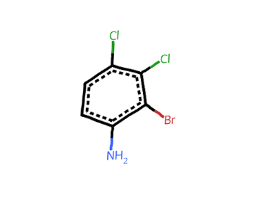 Nc1ccc(Cl)c(Cl)c1Br